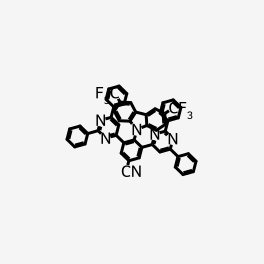 N#Cc1cc(-c2cc(-c3ccccc3)nc(-c3ccccc3)n2)c(-n2c3ccc(C(F)(F)F)cc3c3cc(C(F)(F)F)ccc32)c(-c2cc(-c3ccccc3)nc(-c3ccccc3)n2)c1